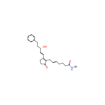 CCNC(=O)CCCC=CCC1=C(C=C[C@@H](O)CCc2ccccc2)CCC1=O